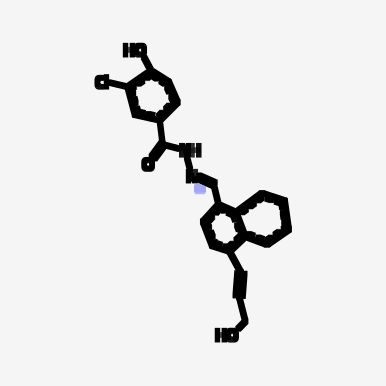 O=C(N/N=C/c1ccc(C#CCO)c2ccccc12)c1ccc(O)c(Cl)c1